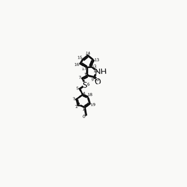 Cc1ccc(CSC=C2C(=O)Nc3ccccc32)cc1